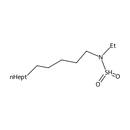 CCCCCCCCCCCCN(CC)[SH](=O)=O